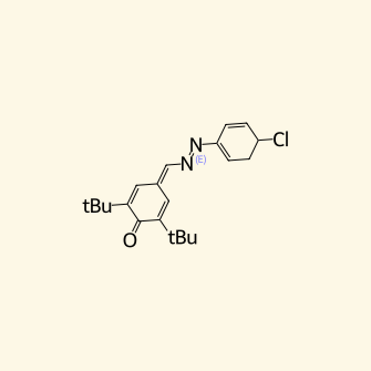 CC(C)(C)C1=CC(=C/N=N/C2=CCC(Cl)C=C2)C=C(C(C)(C)C)C1=O